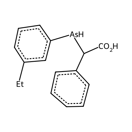 CCc1cccc([AsH]C(C(=O)O)c2ccccc2)c1